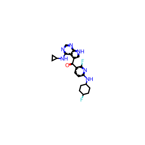 O=C(c1ccc(NC2CCC(F)CC2)nc1F)c1c[nH]c2ncnc(NC3CC3)c12